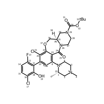 C[C@H]1CN(C)CCN1c1nc(-c2c(F)ccc(Cl)c2O)c(Cl)c2c1C(=O)N1CCN(C(=O)OC(C)(C)C)C[C@@H]1CO2